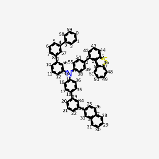 c1ccc(-c2cccc(-c3cccc(N(c4ccc(-c5cccc(-c6ccc7ccccc7c6)c5)cc4)c4ccc(-c5cccc6sc7ccccc7c56)cc4)c3)c2)cc1